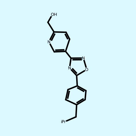 CC(C)Cc1ccc(-c2nc(-c3ccc(CO)nc3)no2)cc1